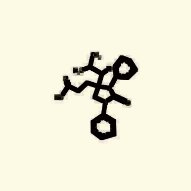 CC(C)C(N)C1(CCC(=O)O)CN(c2ccccc2)C(=O)N1c1ccccc1